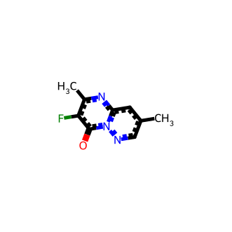 Cc1cnn2c(=O)c(F)c(C)nc2c1